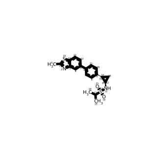 Cc1nc2cc(-c3ccc([C@@H]4C[C@H]4NS(=O)(=O)C(C)C)cc3)ccc2s1